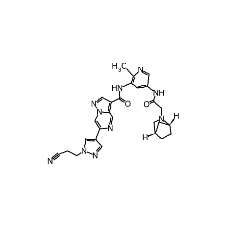 Cc1ncc(NC(=O)CN2C[C@H]3CC[C@@H]2C3)cc1NC(=O)c1cnn2cc(-c3cnn(CCC#N)c3)ncc12